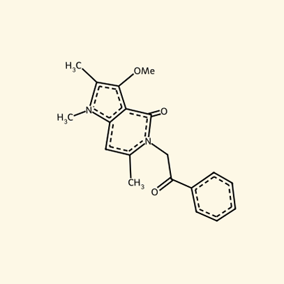 COc1c(C)n(C)c2cc(C)n(CC(=O)c3ccccc3)c(=O)c12